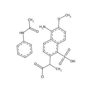 CC(=O)Nc1ccccc1.COc1ccc2c(S(=O)(=O)O)c(C(C)C(=O)Cl)ccc2c1N